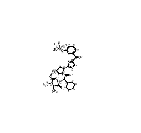 CC(C(=O)NC(C(=O)N1CCC[C@H]1c1nc(C(=O)c2cccc(O[Si](C)(C)C(C)(C)C)c2)cs1)C1CCCCC1)N(C)C(=O)OC(C)(C)C